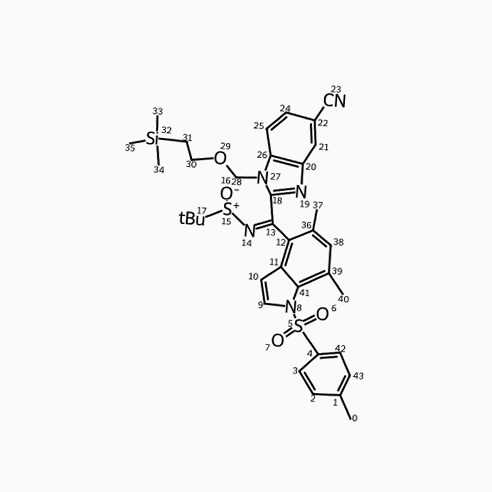 Cc1ccc(S(=O)(=O)n2ccc3c(C(=N[S+]([O-])C(C)(C)C)c4nc5cc(C#N)ccc5n4COCC[Si](C)(C)C)c(C)cc(C)c32)cc1